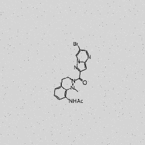 CC(=O)Nc1cccc2c1N(C)N(C(=O)c1cc3ncc(Br)cn3n1)CC2